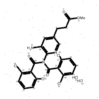 COC(=O)CCc1cnc(N(C(=O)c2c(Cl)cccc2Cl)C(=O)c2c(Cl)cccc2Cl)c(N)c1.Cl.Cl